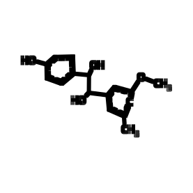 COc1cc(C)cc(C(O)C(O)c2ccc(O)cc2)c1